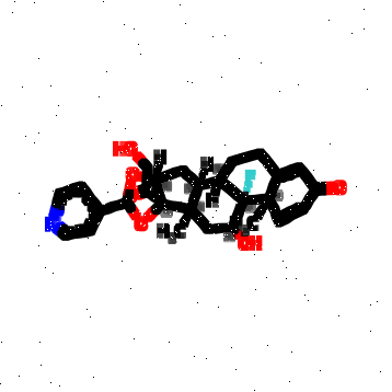 C[C@]12C=CC(=O)C=C1CC[C@H]1[C@@H]3C[C@H]4OC(c5ccncc5)O[C@@]4(C(=O)CO)[C@@]3(C)C[C@H](O)[C@@]12F